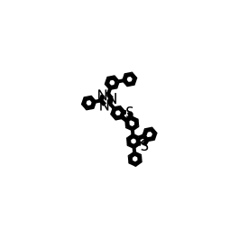 c1ccc(-c2cccc(-c3nc(-c4ccccc4)nc(-c4ccc5c(c4)sc4ccc(-c6ccc(-c7ccccc7)c7sc8ccccc8c67)cc45)n3)c2)cc1